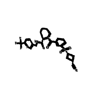 N#C[C@H]1C[C@H](S(=O)(=O)c2cccc(C(=O)N3CCCC[C@@H]3C(=O)NCc3ccc(C(F)(F)F)nc3)c2)C1